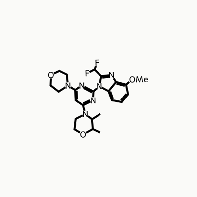 COc1cccc2c1nc(C(F)F)n2-c1nc(N2CCOCC2)cc(N2CCOC(C)C2C)n1